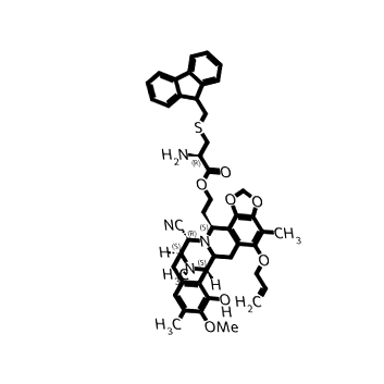 C=CCOc1c(C)c2c(c3c1CC1[C@@H]4c5c(cc(C)c(OC)c5O)C[C@@H]([C@H](C#N)N1[C@H]3CCOC(=O)[C@@H](N)CSCC1c3ccccc3-c3ccccc31)N4C)OCO2